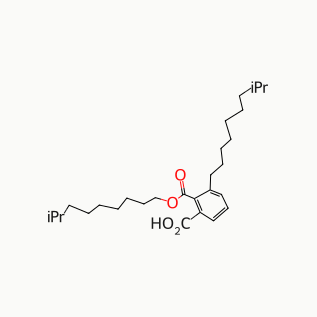 CC(C)CCCCCCCOC(=O)c1c(CCCCCCCC(C)C)cccc1C(=O)O